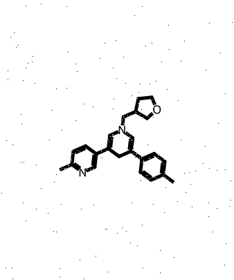 Cc1ccc(C2=CN(CC3CCOC3)C=C(c3ccc(C)nc3)C2)cc1